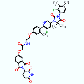 CC1(C)C(=O)N(c2ccc(C#N)c(C(F)(F)F)c2F)C(=O)N1c1cnc(-c2ccc(OCCNC(=O)COc3ccc4c(c3)C(=O)N(C3CCC(=O)NC3=O)C4=O)cc2C(F)(F)F)c(F)c1